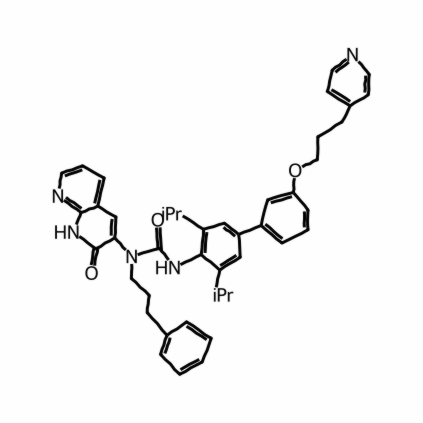 CC(C)c1cc(-c2cccc(OCCCc3ccncc3)c2)cc(C(C)C)c1NC(=O)N(CCCc1ccccc1)c1cc2cccnc2[nH]c1=O